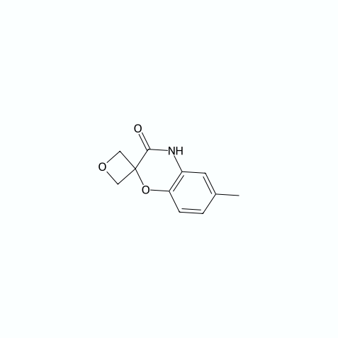 Cc1ccc2c(c1)NC(=O)C1(COC1)O2